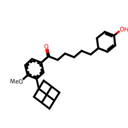 COc1ccc(C(=O)CCCCCC2C=CC(O)=CC2)cc1C12CC3CC4CC(C1)C432